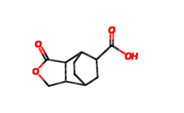 O=C(O)C1CC2CCC1C1C(=O)OCC21